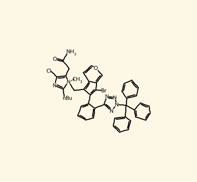 CCCCC1=NC(Cl)=C(CC(N)=O)[N+]1(C)Cc1c2ccocc-2c(Br)c1-c1ccccc1-c1nnn(C(c2ccccc2)(c2ccccc2)c2ccccc2)n1